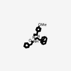 COc1ccc(-c2cnc(NC(=O)Cc3ccccc3)c(CC34CC5CC(CC(C5)C3)C4)n2)cc1